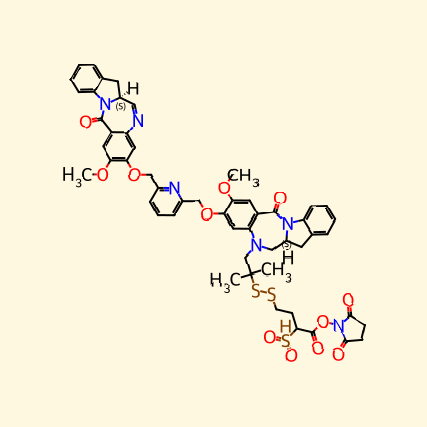 COc1cc2c(cc1OCc1cccc(COc3cc4c(cc3OC)C(=O)N3c5ccccc5C[C@H]3CN4CC(C)(C)SSCCC(C(=O)ON3C(=O)CCC3=O)[SH](=O)=O)n1)N=C[C@@H]1Cc3ccccc3N1C2=O